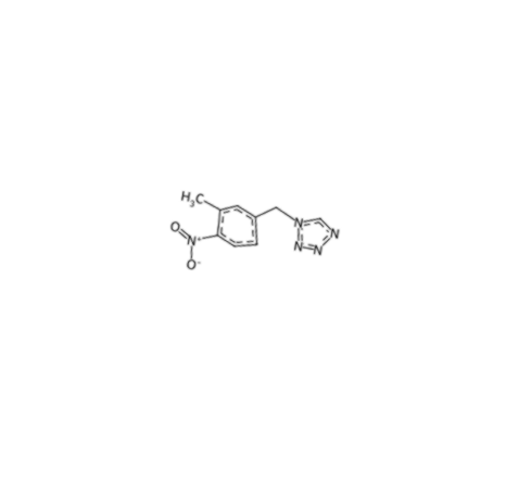 Cc1cc(Cn2cnnn2)ccc1[N+](=O)[O-]